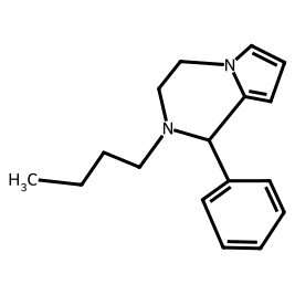 CCCCN1CCn2cccc2C1c1ccccc1